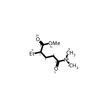 CCC(CCC(=O)N(C)C)C(=O)OC